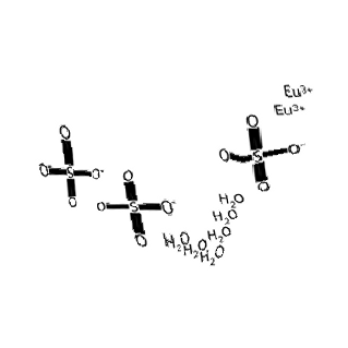 O.O.O.O.O.O.O=S(=O)([O-])[O-].O=S(=O)([O-])[O-].O=S(=O)([O-])[O-].[Eu+3].[Eu+3]